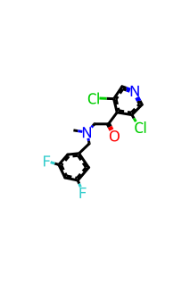 CN(CC(=O)c1c(Cl)cncc1Cl)Cc1cc(F)cc(F)c1